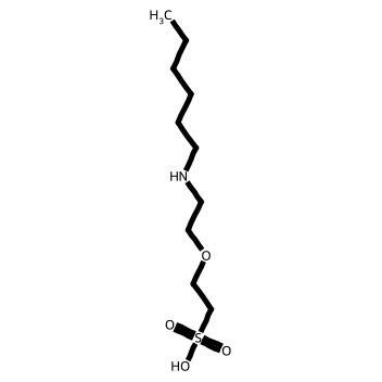 CCCCCCNCCOCCS(=O)(=O)O